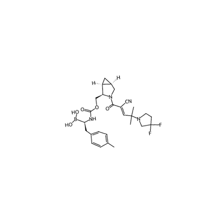 Cc1ccc(C[C@H](NC(=O)OC[C@H]2[C@H]3C[C@H]3CN2C(=O)/C(C#N)=C/C(C)(C)N2CCC(F)(F)C2)B(O)O)cc1